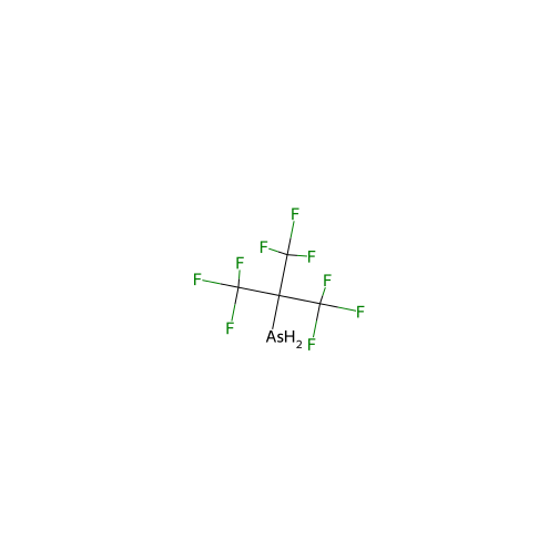 FC(F)(F)C([AsH2])(C(F)(F)F)C(F)(F)F